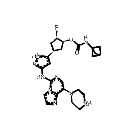 O=C(NC12CC(C1)C2)O[C@H]1C[C@@H](c2cc(Nc3ncc(N4CCNCC4)c4nccn34)n[nH]2)C[C@H]1F